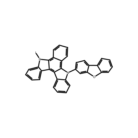 In1c2ccccc2c2c3c4ccccc4n(-c4ccc5c(c4)oc4ccccc45)c3c3ccccc3c21